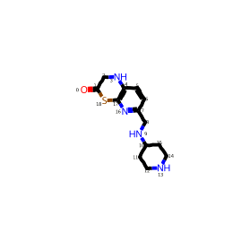 O=C1CNc2ccc(CNC3CCNCC3)nc2S1